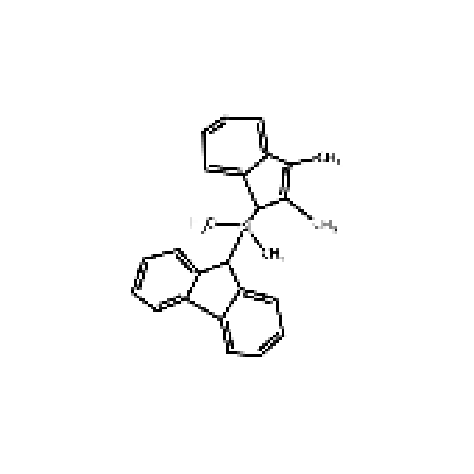 CC1=C(C)C([Si](C)(C)C2c3ccccc3-c3ccccc32)c2ccccc21